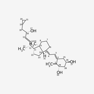 C=C1/C(=C\C=C2/CCC[C@]3(C)[C@@H]([C@H](C)/C=C/[C@@H](O)CC4CC4)CC[C@@H]23)C[C@@H](O)C[C@@H]1O